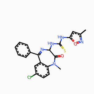 Cc1cc(NC(=S)NC2N=C(c3ccccc3)c3cc(Cl)ccc3N(C)C2=O)on1